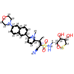 C/C(=C(/C#N)S(=O)(=O)NC[C@H]1OSC[C@@H](O)[C@@H]1O)c1ccc(-c2ccc3cc(N4CCOCC4)ccc3c2)n1C